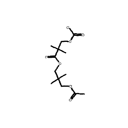 CC(=O)OCC(C)(C)COC(=O)C(C)(C)COC(=O)Cl